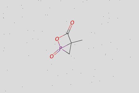 CC12CP1(=O)OC2=O